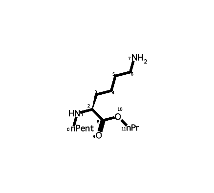 CCCCCN[C@@H](CCCCN)C(=O)OCCC